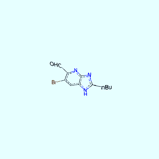 CCCCc1nc2nc(C=O)c(Br)cc2[nH]1